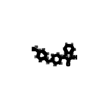 O=c1[nH]c2ccccc2n1C1CCN(Cc2ccc(Br)cc2)CC1